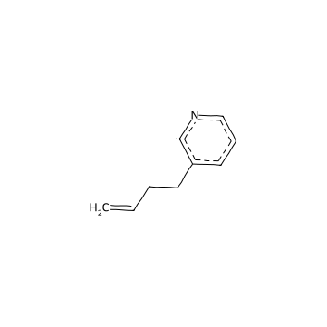 C=CCCc1[c]nccc1